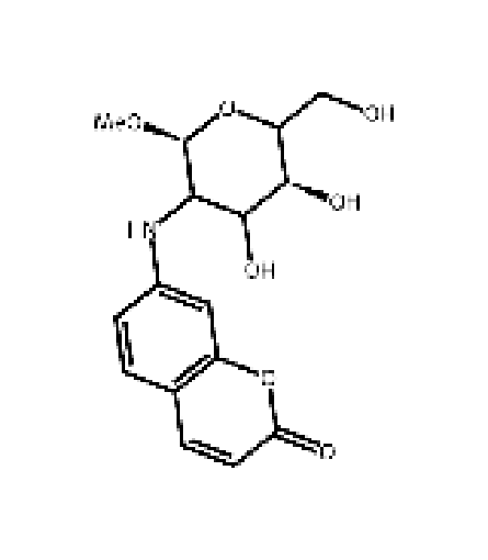 CO[C@H]1OC(CO)[C@@H](O)C(O)C1Nc1ccc2ccc(=O)oc2c1